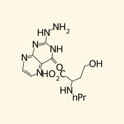 CCCNC(CCO)C(=O)O.NNc1nc2nccnc2c(=O)[nH]1